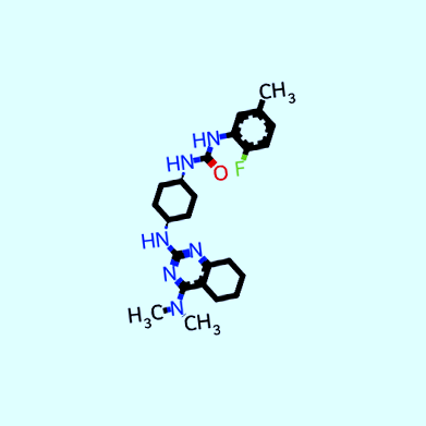 Cc1ccc(F)c(NC(=O)N[C@H]2CC[C@@H](Nc3nc4c(c(N(C)C)n3)CCCC4)CC2)c1